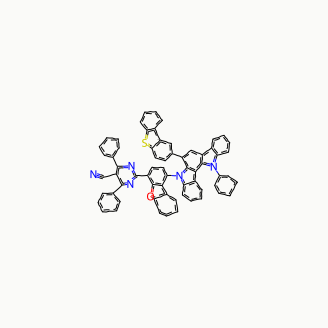 N#Cc1c(-c2ccccc2)nc(-c2ccc(-n3c4ccccc4c4c3c(-c3ccc5sc6ccccc6c5c3)cc3c5ccccc5n(-c5ccccc5)c34)c3c2oc2ccccc23)nc1-c1ccccc1